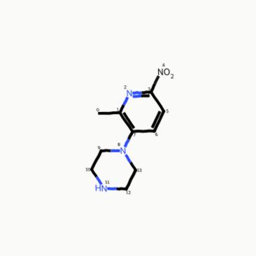 Cc1nc([N+](=O)[O-])ccc1N1CCNCC1